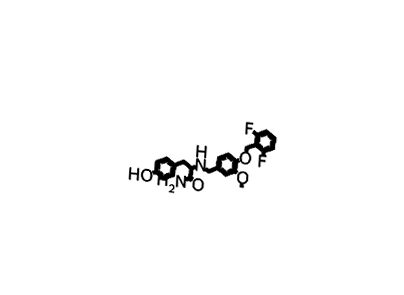 COc1cc(CNC(Cc2ccc(O)cc2)C(N)=O)ccc1OCc1c(F)cccc1F